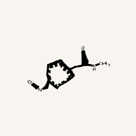 CNC(=O)c1ccc(N=O)cc1